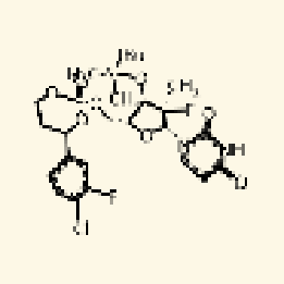 CC(C)(C)[Si](C)(C)O[C@@H]1[C@@H](CO[P@]2(=O)OCC[C@H](c3ccc(Cl)c(F)c3)O2)O[C@@H](n2ccc(=O)[nH]c2=O)[C@]1(C)F